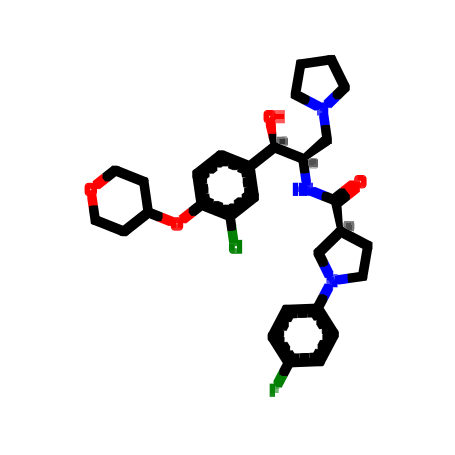 O=C(N[C@H](CN1CCCC1)[C@H](O)c1ccc(OC2CCOCC2)c(Cl)c1)[C@H]1CCN(c2ccc(F)cc2)C1